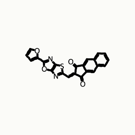 O=C1C(=Cc2nc3oc(-c4ccco4)nc3s2)C(=O)c2cc3ccccc3cc21